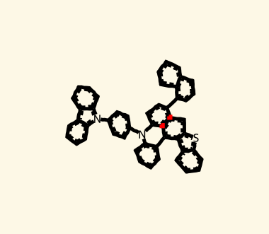 c1ccc(N(c2ccc(-c3cccc4ccccc34)cc2)c2ccc(-n3c4ccccc4c4ccccc43)cc2)c(-c2cccc3sc4ccccc4c23)c1